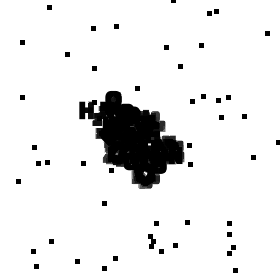 CC1(C)[C@@H]2[C@@H](C(=O)NC(CC3CCC3)C(=O)C(N)=O)N(C(=O)[C@@H](NC(=O)[C@@H](NC(=O)c3cnccn3)C3CCCCC3)C3CCCCC3)C[C@@H]21